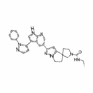 CCNC(=O)N1CCC2(CCn3nc(-c4cnc5[nH]cc(-c6ccnn6-c6ccccc6)c5c4)cc32)C1